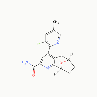 Cc1cnc(-c2cc(C(N)=O)nc3c2C[C@H]2CC[C@@H]3O2)c(F)c1